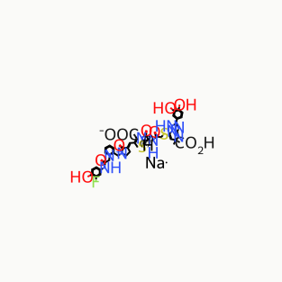 CC1(C(=O)O)C=C(SCC(=O)N[C@@H]2C(=O)N3C(C(=O)[O-])=C(C=C4CCN(Cc5cccc[n+]5CC(=O)Nc5ccc(O)c(F)c5)C4=O)CS[C@H]23)N2NC(c3ccc(O)c(O)c3)=NC2=N1.[Na]